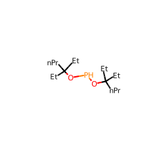 CCCC(CC)(CC)OPOC(CC)(CC)CCC